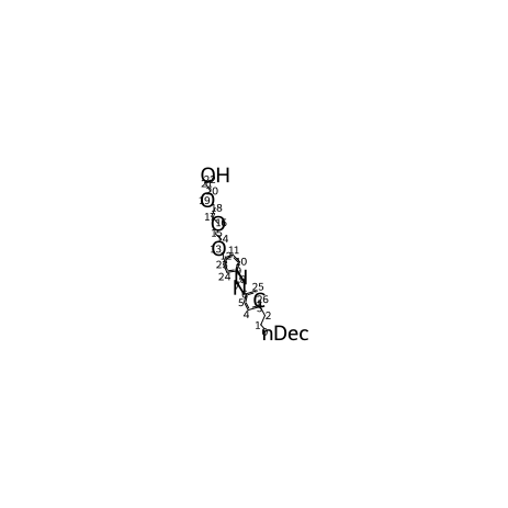 CCCCCCCCCCCCc1ccc(N=Nc2ccc(OCCOCCOCCO)cc2)cc1